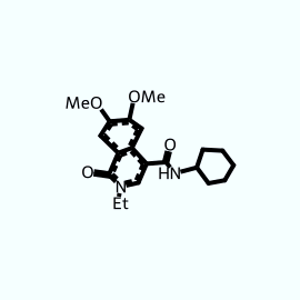 CCn1cc(C(=O)NC2CCCCC2)c2cc(OC)c(OC)cc2c1=O